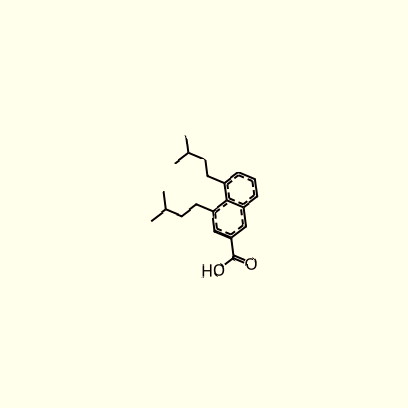 CC(C)CCc1cccc2cc(C(=O)O)cc(CCC(C)C)c12